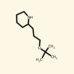 CC(C)(C)OCCCC1CCCCN1